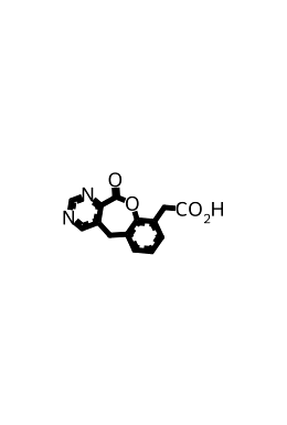 O=C(O)Cc1cccc2c1OC(=O)c1ncncc1C2